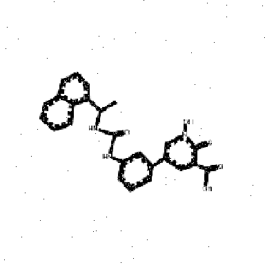 CC(NC(=O)Nc1cccc(-c2cc(C(=O)O)c(=O)n(O)c2)c1)c1cccc2ccccc12